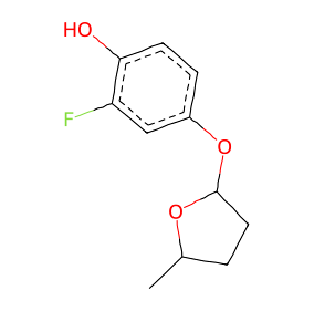 CC1CCC(Oc2ccc(O)c(F)c2)O1